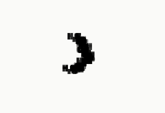 COc1ccc(CNc2ncnc3sc(C(=O)NC4CCN(C)CC4)cc23)cc1